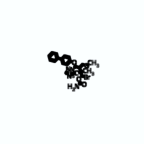 COCC(C(Oc1ccc(-c2ccccc2)cc1)n1cncn1)C(C)(C)C(Br)OC(N)=O